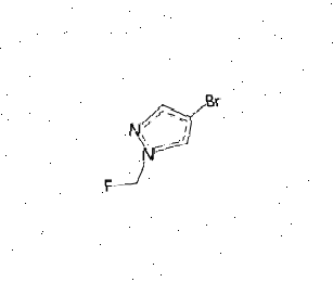 FCn1cc(Br)cn1